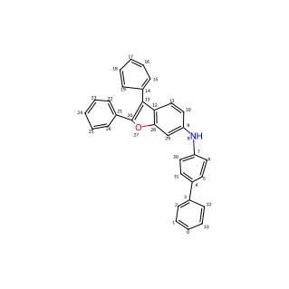 c1ccc(-c2ccc(Nc3ccc4c(-c5ccccc5)c(-c5ccccc5)oc4c3)cc2)cc1